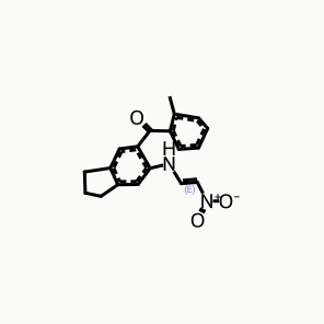 Cc1ccccc1C(=O)c1cc2c(cc1N/C=C/[N+](=O)[O-])CCC2